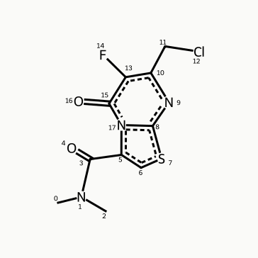 CN(C)C(=O)c1csc2nc(CCl)c(F)c(=O)n12